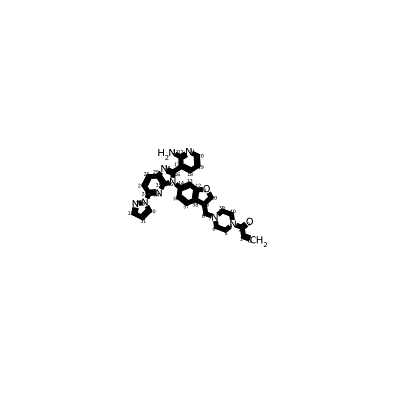 C=CC(=O)N1CCN(CC2COc3cc(-n4c(-c5cccnc5N)nc5ccc(-n6cccn6)nc54)ccc32)CC1